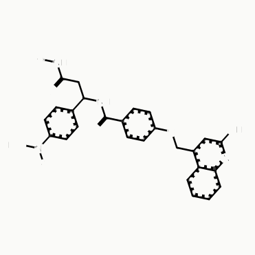 Cc1cc(COc2ccc(C(=O)NC(CC(=O)NO)c3ccc(N(C)C)cc3)cc2)c2ccccc2n1